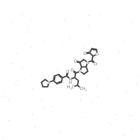 CC(C)CC(NC(=O)c1ccc(N2CCCC2)cc1)C(=O)N1CCC2C1C(=O)CN2C(=O)C1OC=CC1=O